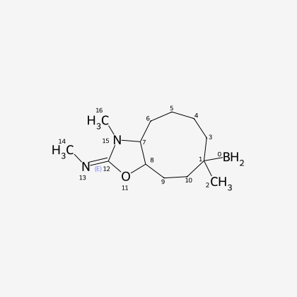 BC1(C)CCCCC2C(CC1)O/C(=N/C)N2C